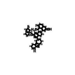 CCc1c(F)ccc2cc(O)cc(N3CCc4c(nc(OC[C@@]56CCCN5C[C@H](F)C6)nc4N4CCCn5nc6c(c5C4)CCCN6)C3)c12